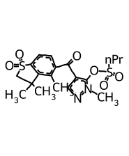 CCCS(=O)(=O)Oc1c(C(=O)c2ccc3c(c2C)C(C)(C)CS3(=O)=O)cnn1C